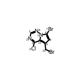 Clc1ncnn2c(Br)cc(CBr)c12